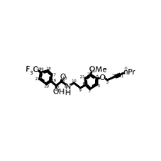 CCCC#CCOc1ccc(CCNC(=O)C(O)c2ccc(C(F)(F)F)cc2)cc1OC